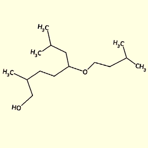 CC(C)CCOC(CCC(C)CO)CC(C)C